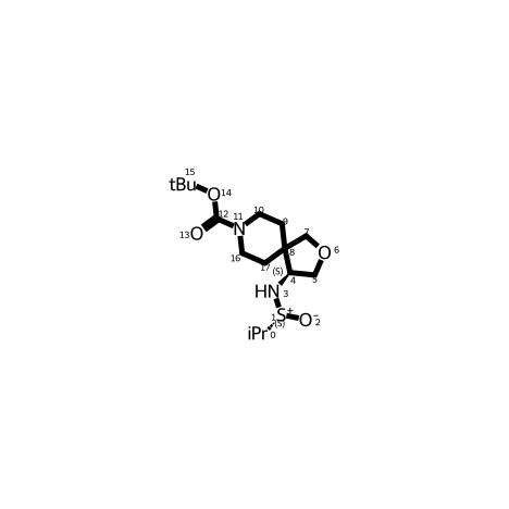 CC(C)[S@@+]([O-])N[C@@H]1COCC12CCN(C(=O)OC(C)(C)C)CC2